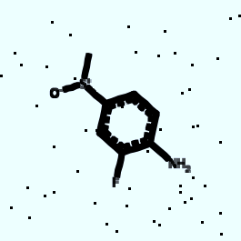 C[S+]([O-])c1ccc(N)c(F)c1